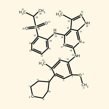 COc1cc(C2CCOCC2)c(C)cc1Nc1nc(Nc2ccccc2S(=O)(=O)C(C)C)c2c(C)n[nH]c2n1